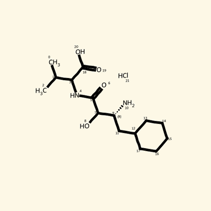 CC(C)C(NC(=O)C(O)[C@H](N)CC1CCCCC1)C(=O)O.Cl